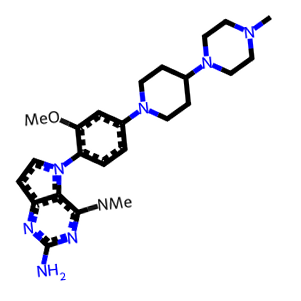 CNc1nc(N)nc2ccn(-c3ccc(N4CCC(N5CCN(C)CC5)CC4)cc3OC)c12